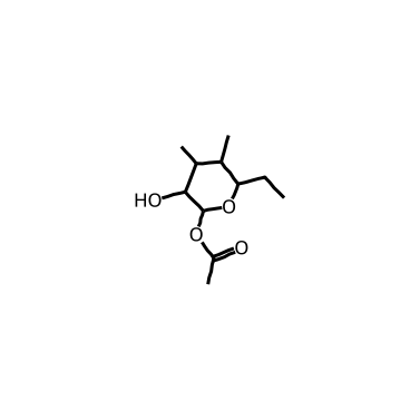 CCC1OC(OC(C)=O)C(O)C(C)C1C